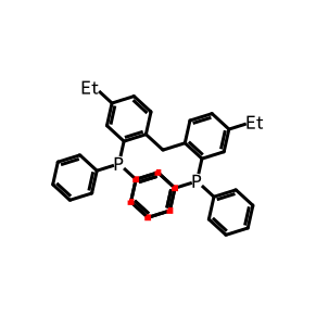 CCc1ccc(Cc2ccc(CC)cc2P(c2ccccc2)c2ccccc2)c(P(c2ccccc2)c2ccccc2)c1